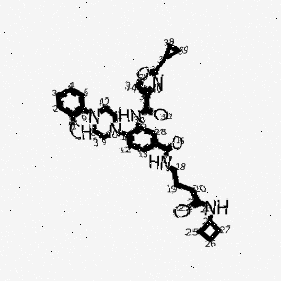 Cc1ccccc1N1CCN(c2ccc(C(=O)NCCCC(=O)NC3CCC3)cc2NC(=O)c2coc(C3CC3)n2)CC1